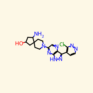 NC1CC(O)CC12CCN(c1cnc3c(-c4ccnnc4Cl)n[nH]c3n1)CC2